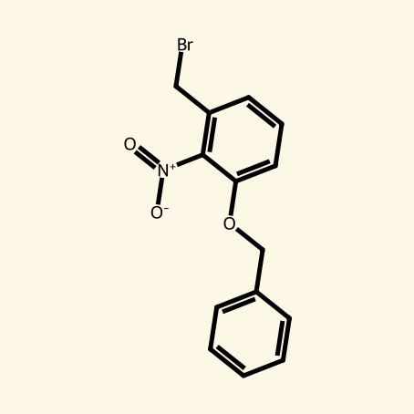 O=[N+]([O-])c1c(CBr)cccc1OCc1ccccc1